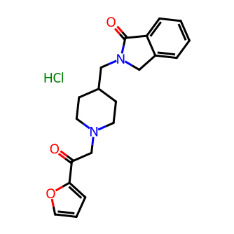 Cl.O=C(CN1CCC(CN2Cc3ccccc3C2=O)CC1)c1ccco1